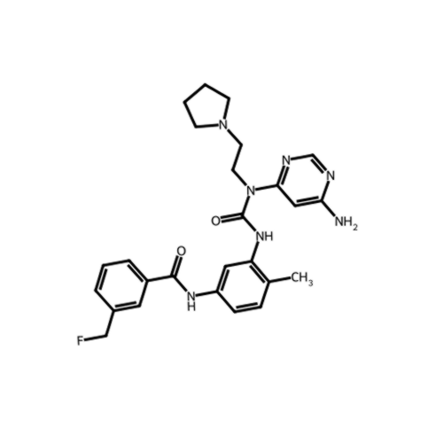 Cc1ccc(NC(=O)c2cccc(CF)c2)cc1NC(=O)N(CCN1CCCC1)c1cc(N)ncn1